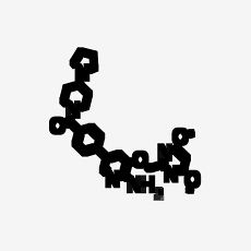 COc1cc(OC)nc(COc2cc(-c3ccc(C(=O)N4CCC(N5CCCC5)CC4)cc3)cnc2N)n1